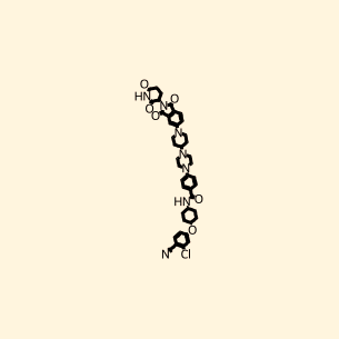 N#Cc1ccc(O[C@H]2CC[C@H](NC(=O)c3ccc(N4CCN(C5CCN(c6ccc7c(c6)C(=O)N(C6CCC(=O)NC6=O)C7=O)CC5)CC4)cc3)CC2)cc1Cl